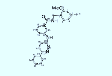 COc1cc(F)ccc1CNC(=O)c1cccc(Nc2ccc(-c3ccccc3)nn2)c1